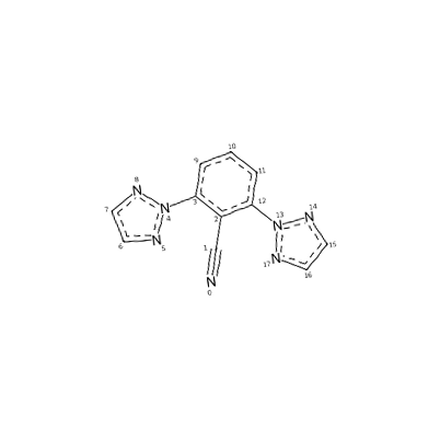 N#Cc1c(-n2nccn2)cccc1-n1nccn1